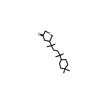 CC1(C)CCC(C(C)(C)CCC(C)(C)C2CCCC(=O)C2)CC1